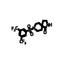 O=C1NCCC12CCN(S(=O)(=O)c1cc(C(F)(F)F)cc(C(F)(F)F)c1)CC2